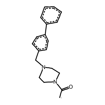 [CH2]C(=O)N1CCN(Cc2ccc(-c3ccccc3)cc2)CC1